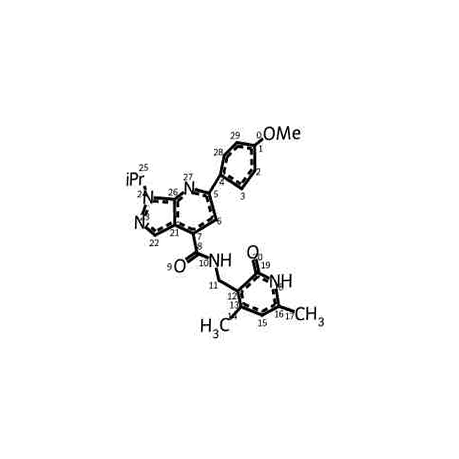 COc1ccc(-c2cc(C(=O)NCc3c(C)cc(C)[nH]c3=O)c3cnn(C(C)C)c3n2)cc1